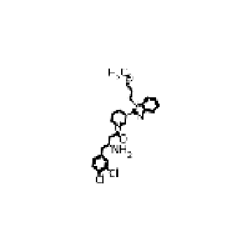 COCCCn1c([C@@H]2CCCN(C(=O)C[C@H](N)Cc3ccc(Cl)c(Cl)c3)C2)nc2ccccc21